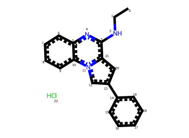 CCNc1nc2ccccc2n2cc(-c3ccccc3)cc12.Cl